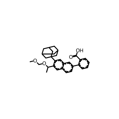 COCOC(C)c1cc2ccc(-c3ccccc3C(=O)O)cc2cc1C12CC3CC(CC(C3)C1)C2